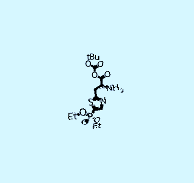 CCOP(=O)(OCC)c1cnc(C[C@H](N)C(=O)OC(=O)OC(C)(C)C)s1